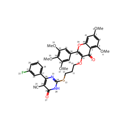 COc1cc(OC)c2c(=O)c(OCCCSc3nc(-c4cccc(F)c4)c(C#N)c(=O)[nH]3)c(-c3cc(OC)c(OC)c(OC)c3)oc2c1